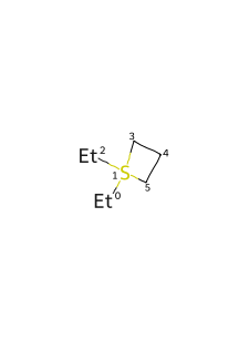 CCS1(CC)CCC1